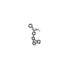 N/C(=N\Cc1ccccc1)c1ccc(-c2ccc3c4cccc5c6c#cccc6n(c3c2)c54)cc1